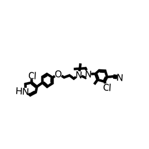 Cc1c(N2CN(CCCOc3ccc(C4=C(Cl)CNC=C4)cc3)C(C)(C)C2)ccc(C#N)c1Cl